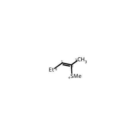 CC/C=C(/C)SC